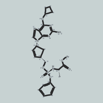 CC(C)OC(=O)[C@H](C)N[P@@](=O)(OC[C@@H]1C=C[C@H](n2cnc3c(OC4CCC4)nc(N)nc32)C1)Oc1ccccc1